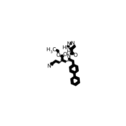 CCOC(=O)[C@H](CCC#N)C[C@@H](Cc1ccc(-c2ccccc2)cc1)NC(=O)c1cnn[nH]1